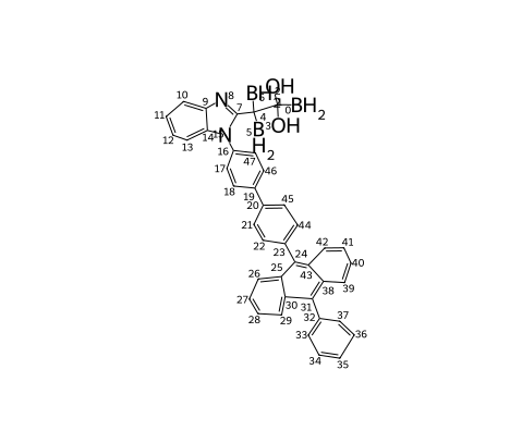 BC(O)(O)C(B)(B)c1nc2ccccc2n1-c1ccc(-c2ccc(-c3c4ccccc4c(-c4ccccc4)c4ccccc34)cc2)cc1